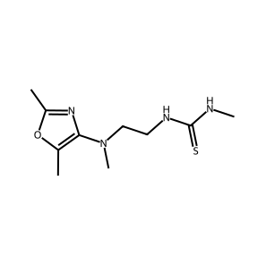 CNC(=S)NCCN(C)c1nc(C)oc1C